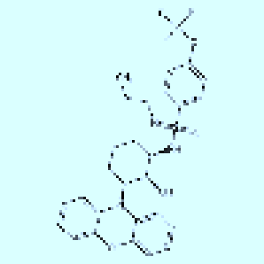 CCCN=S(=O)(N[C@@H]1CCC[C@H](N2c3ccccc3Oc3ccccc32)[C@@H]1O)c1ccc(OC(F)(F)F)cc1